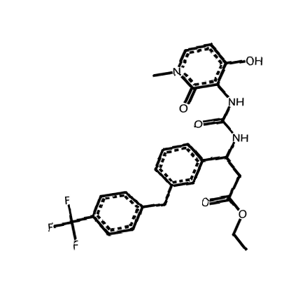 CCOC(=O)CC(NC(=O)Nc1c(O)ccn(C)c1=O)c1cccc(Cc2ccc(C(F)(F)F)cc2)c1